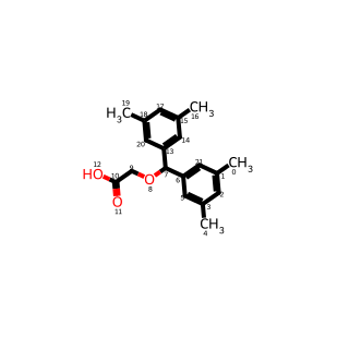 Cc1cc(C)cc(C(OCC(=O)O)c2cc(C)cc(C)c2)c1